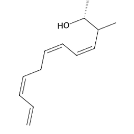 C=C/C=C\C/C=C\C=C/C(C)[C@@H](C)O